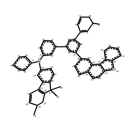 CC1C=C(c2cc(-c3cccc(N(c4ccccc4)c4ccc5c(c4)C4=C(CC(C)C=C4)C5(C)C)c3)cc(-c3ccc4ccc5oc6ccccc6c5c4c3)c2)C=CC1